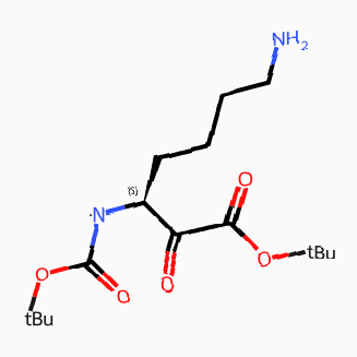 CC(C)(C)OC(=O)[N][C@@H](CCCCN)C(=O)C(=O)OC(C)(C)C